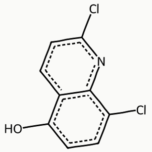 Oc1ccc(Cl)c2nc(Cl)ccc12